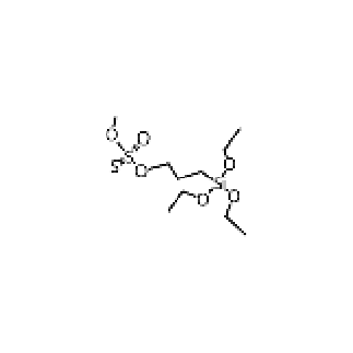 CCO[Si](CCCOS(=O)(=S)OC)(OCC)OCC